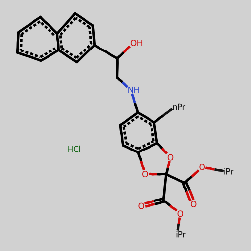 CCCc1c(NCC(O)c2ccc3ccccc3c2)ccc2c1OC(C(=O)OC(C)C)(C(=O)OC(C)C)O2.Cl